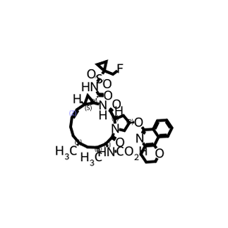 C[C@H]1CC/C=C\[C@@H]2C[C@@]2(C(=O)NS(=O)(=O)C2(CF)CC2)NC(=O)[C@@H]2C[C@@H](Oc3nc4c(c5ccccc35)OCCC4)CN2C(=O)[C@@H](NC(=O)O)[C@H](C)C1